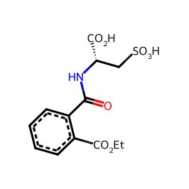 CCOC(=O)c1ccccc1C(=O)N[C@@H](CS(=O)(=O)O)C(=O)O